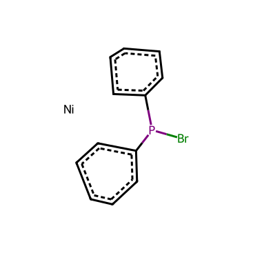 BrP(c1ccccc1)c1ccccc1.[Ni]